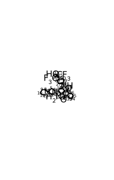 Nc1c(N2CCC(N3CCCCC3)CC2)cc(Nc2ccc(C(O)(C(F)(F)F)C(F)(F)F)cc2)c2c1C(=O)c1ccccc1C2=O